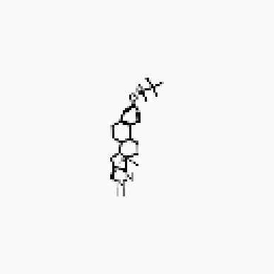 CC(C)(C)[Si](C)(C)Oc1ccc2c(c1)CCC1C2CC[C@]2(C)c3n[nH]cc3CC12